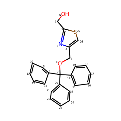 OCc1nc(COC(c2ccccc2)(c2ccccc2)c2ccccc2)cs1